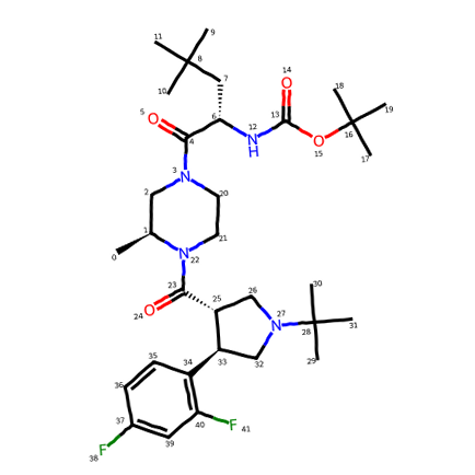 C[C@H]1CN(C(=O)[C@H](CC(C)(C)C)NC(=O)OC(C)(C)C)CCN1C(=O)[C@@H]1CN(C(C)(C)C)C[C@H]1c1ccc(F)cc1F